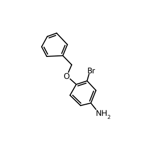 Nc1ccc(OCc2ccccc2)c(Br)c1